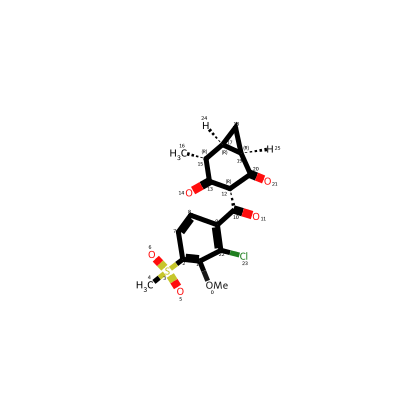 COc1c(S(C)(=O)=O)ccc(C(=O)[C@@H]2C(=O)[C@H](C)[C@H]3C[C@H]3C2=O)c1Cl